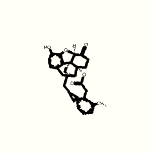 Cc1ccccc1CC(=O)O[C@@]12CCC(=O)[C@@H]3Oc4c(O)ccc5c4[C@@]31CCN(CC1CC1)C2C5